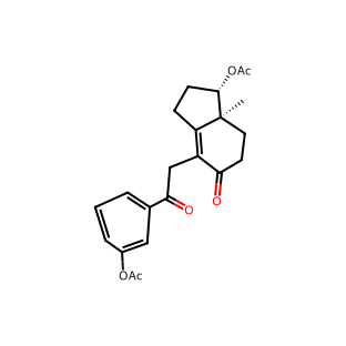 CC(=O)Oc1cccc(C(=O)CC2=C3CC[C@H](OC(C)=O)[C@@]3(C)CCC2=O)c1